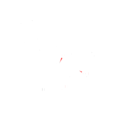 C#C[C@H](OC(=O)c1ccccc1)[C@H]1O[C@H](OC)[C@@H](O)[C@@H]1O